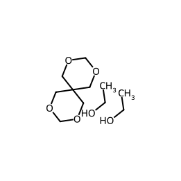 C1OCC2(CO1)COCOC2.CCO.CCO